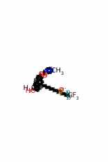 CN1CCN(CC(=O)Oc2ccc3c(c2)C[C@@H](CCCCCCCCC[S+]([O-])CCCC(F)(F)C(F)(F)F)[C@@H]2[C@@H]3CC[C@]3(C)[C@@H](O)CC[C@@H]23)CC1